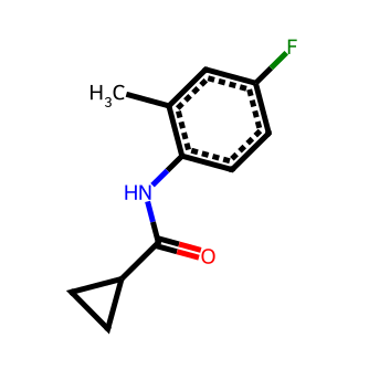 Cc1cc(F)ccc1NC(=O)C1CC1